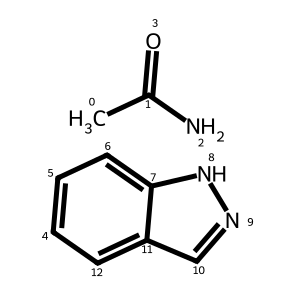 CC(N)=O.c1ccc2[nH]ncc2c1